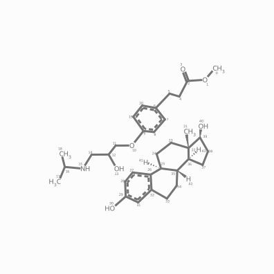 COC(=O)CCc1ccc(OCC(O)CNC(C)C)cc1.C[C@]12CC[C@@H]3c4ccc(O)cc4CC[C@H]3[C@@H]1CC[C@@H]2O